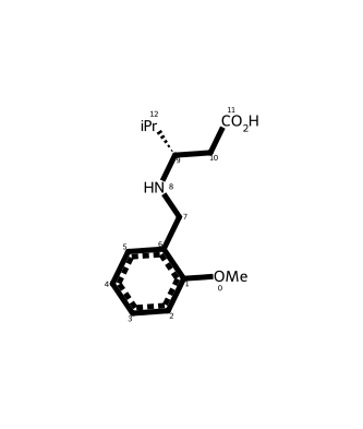 COc1ccccc1CN[C@@H](CC(=O)O)C(C)C